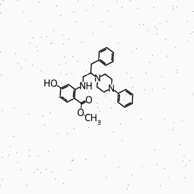 COC(=O)c1ccc(O)cc1NCC(Cc1ccccc1)N1CCN(c2ccccc2)CC1